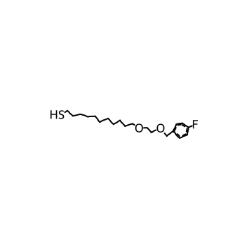 Fc1ccc(COCCOCCCCCCCCCCCS)cc1